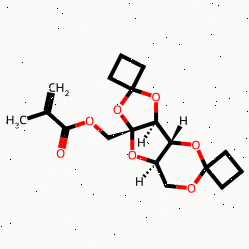 C=C(C)C(=O)OC[C@]12O[C@@H]3COC4(CCC4)O[C@H]3[C@@H]1OC1(CCC1)O2